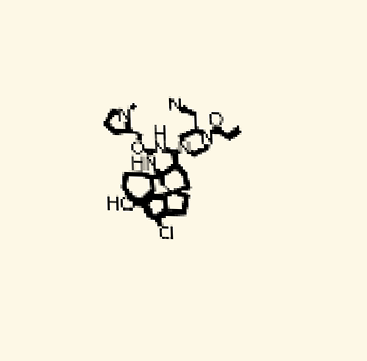 C=CC(=O)N1CCN(C2NC(OC[C@H]3CCCN3C)NC3(C4CCCCCC4)C[C@@]4(CCc5c(Cl)cc(O)cc54)CCC23)C[C@H]1CC#N